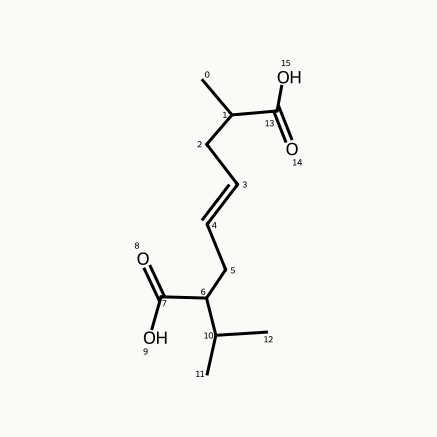 CC(C/C=C/CC(C(=O)O)C(C)C)C(=O)O